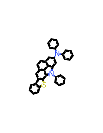 c1ccc(N(c2ccccc2)c2cc3ccc4cc5c6ccccc6sc5c5c4c3c(c2)n5-c2ccccc2)cc1